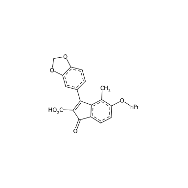 CCCOc1ccc2c(c1C)C(c1ccc3c(c1)OCO3)=C(C(=O)O)C2=O